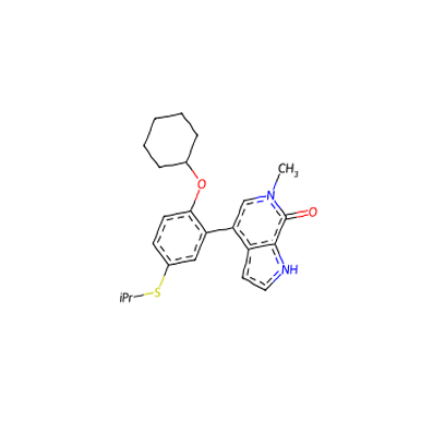 CC(C)Sc1ccc(OC2CCCCC2)c(-c2cn(C)c(=O)c3[nH]ccc23)c1